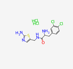 Cl.Cl.Nc1ncc(CNC(=O)C(N)Cc2ccc(Cl)c(Cl)c2)s1